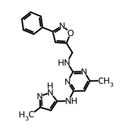 Cc1cc(Nc2cc(C)nc(NCc3cc(-c4ccccc4)no3)n2)[nH]n1